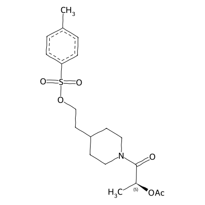 CC(=O)O[C@@H](C)C(=O)N1CCC(CCOS(=O)(=O)c2ccc(C)cc2)CC1